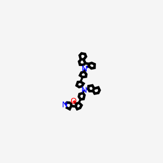 c1cc(-c2ccc(-n3c4ccccc4c4c5ccccc5ccc43)cc2)cc(N(c2ccc(-c3cccc4c3oc3cnccc34)cc2)c2ccc3ccccc3c2)c1